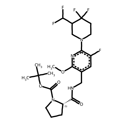 COc1nc(N2CCC(F)(F)C(C(F)F)C2)c(F)cc1CNC(=O)[C@@H]1CCCN1C(=O)OC(C)(C)C